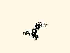 CCCC(CC)c1ccc(-c2ccc(OC(C)C)c(C)c2)cc1-n1ccc(C)n1